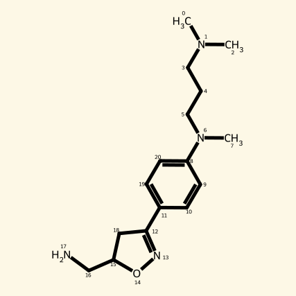 CN(C)CCCN(C)c1ccc(C2=NOC(CN)C2)cc1